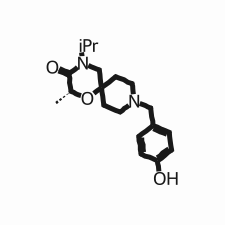 CC(C)N1CC2(CCN(Cc3ccc(O)cc3)CC2)O[C@H](C)C1=O